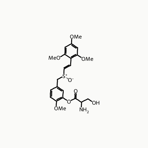 COc1cc(OC)c(/C=C/[S@+]([O-])Cc2ccc(OC)c(OC(=O)C(N)CO)c2)c(OC)c1